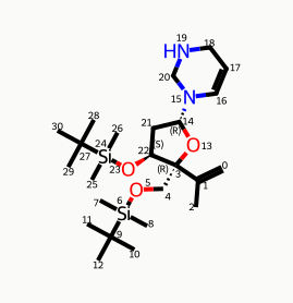 C=C(C)[C@]1(CO[Si](C)(C)C(C)(C)C)O[C@@H](N2C=CCNC2)C[C@@H]1O[Si](C)(C)C(C)(C)C